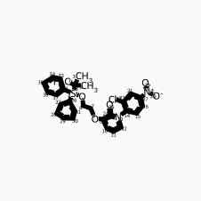 CC(C)(C)[Si](OCCOc1cccn(-c2ccc([N+](=O)[O-])cc2Cl)c1=O)(c1ccccc1)c1ccccc1